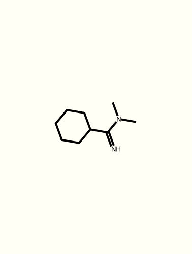 CN(C)C(=N)C1CCCCC1